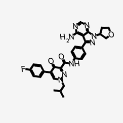 CC(C)Cn1cc(-c2ccc(F)cc2)c(=O)c(C(=O)Nc2ccc(-c3nn(C4CCOC4)c4ncnc(N)c34)cc2)n1